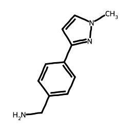 Cn1ccc(-c2ccc(CN)cc2)n1